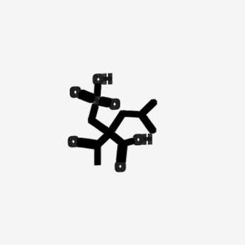 CC(=O)C(CC(C)C)(CS(=O)(=O)O)C(=O)O